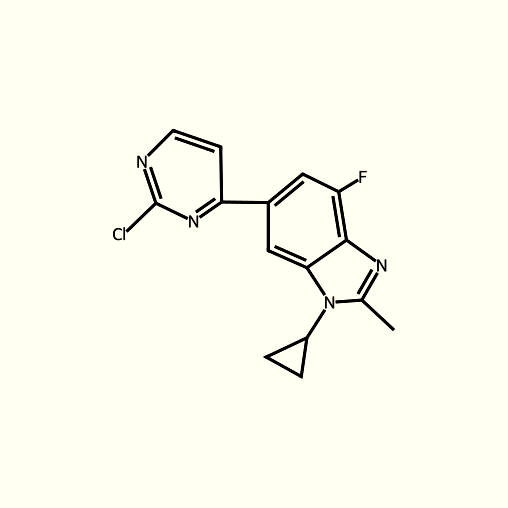 Cc1nc2c(F)cc(-c3ccnc(Cl)n3)cc2n1C1CC1